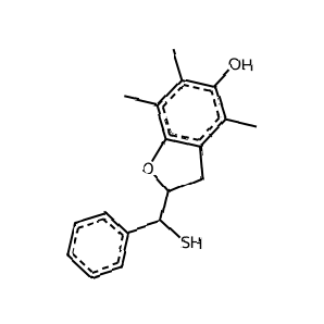 Cc1c(C)c2c(c(C)c1O)CC(C(S)c1ccccc1)O2